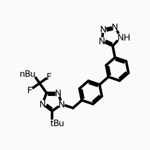 CCCCC(F)(F)c1nc(C(C)(C)C)n(Cc2ccc(-c3cccc(-c4nnn[nH]4)c3)cc2)n1